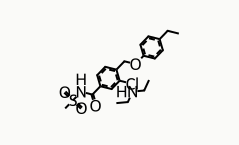 CCNCC.CCc1ccc(OCc2ccc(C(=O)NS(C)(=O)=O)cc2Cl)cc1